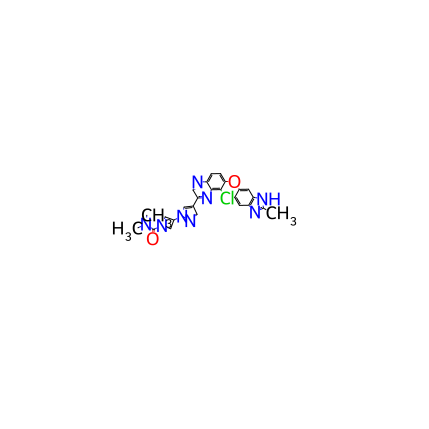 Cc1nc2ccc(Oc3ccc4ncc(-c5cnn(C6CN(C(=O)N(C)C)C6)c5)nc4c3Cl)cc2[nH]1